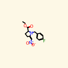 CCOC(=O)C1CCC(=C[N+](=O)[O-])N1Cc1ccc(F)cc1